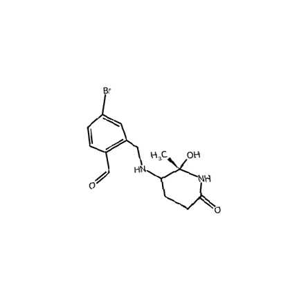 C[C@@]1(O)NC(=O)CCC1NCc1cc(Br)ccc1C=O